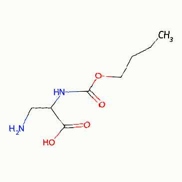 CCCCOC(=O)NC(CN)C(=O)O